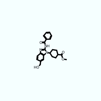 COC(=O)C1CCC(n2c(NC(=O)c3ccccc3)nc3ccc(CO)cc32)CC1